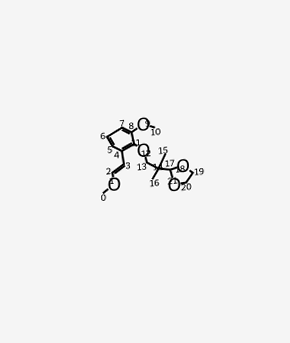 COC=Cc1cccc(OC)c1OCC(C)(C)C1OCCO1